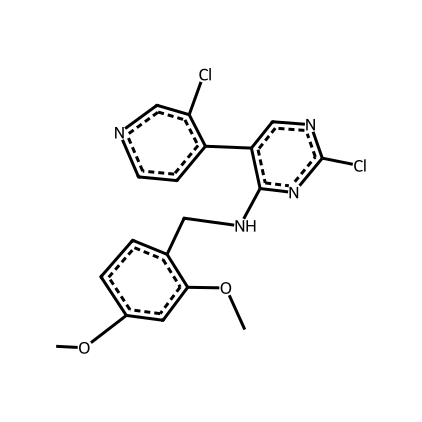 COc1ccc(CNc2nc(Cl)ncc2-c2ccncc2Cl)c(OC)c1